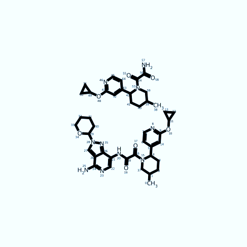 CC1CCC(c2ccnc(OC3CC3)c2)N(C(=O)C(=O)Nc2cnc(N)c3cn(C4CCCCO4)nc23)C1.CC1CCC(c2ccnc(OC3CC3)c2)N(C(=O)C(N)=O)C1